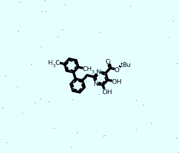 Cc1ccc(C)c(-c2ccccc2Cc2nc(O)c(O)c(C(=O)OC(C)(C)C)n2)c1